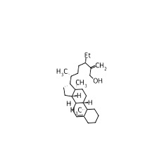 C=C(CO)C(CC)CC[C@@H](C)[C@H]1CC[C@H]2[C@@H]3CC=C4CCCC[C@]4(C)[C@H]3CC[C@]12C